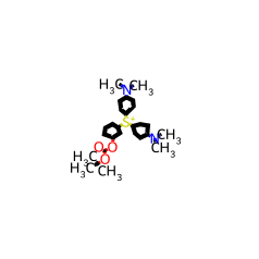 CN(C)c1ccc([S+](c2ccc(N(C)C)cc2)c2cccc(OC(=O)OC(C)(C)C)c2)cc1